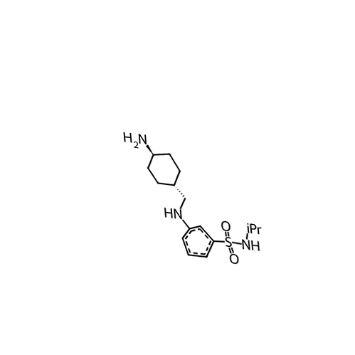 CC(C)NS(=O)(=O)c1cccc(NC[C@H]2CC[C@H](N)CC2)c1